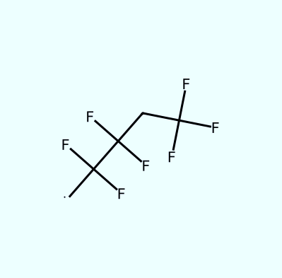 [CH2]C(F)(F)C(F)(F)CC(F)(F)F